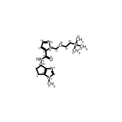 Cn1cnc2c1CC[C@H]2NC(=O)c1ccnn1COCC[Si](C)(C)C